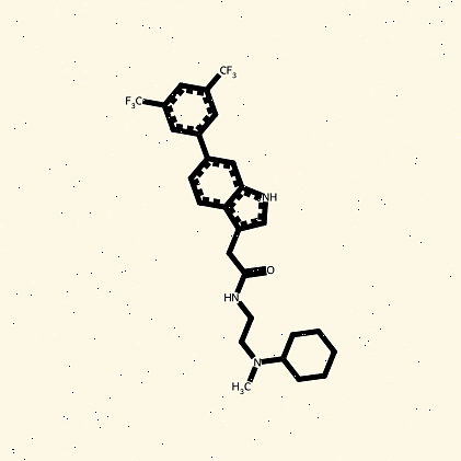 CN(CCNC(=O)Cc1c[nH]c2cc(-c3cc(C(F)(F)F)cc(C(F)(F)F)c3)ccc12)C1CCCCC1